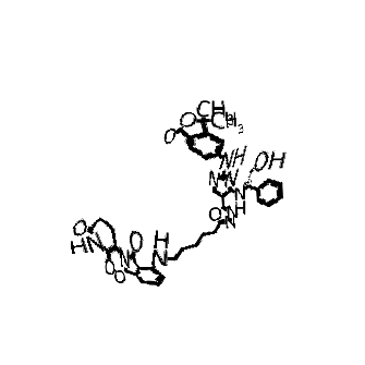 CC1(C)OC(=O)c2ccc(Nc3ncc(-c4nnc(CCCCCNc5cccc6c5C(=O)N(C5CCC(=O)NC5=O)C6=O)o4)c(N[C@H](CO)c4ccccc4)n3)cc21